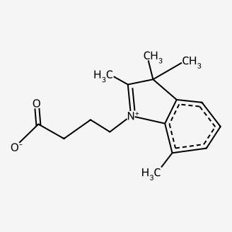 CC1=[N+](CCCC(=O)[O-])c2c(C)cccc2C1(C)C